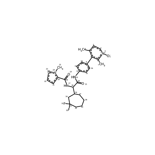 Cc1cc[n+]([O-])c(C)c1-c1ccc(NC(=O)C(NC(=O)c2ccnn2C)C2CCCCC(F)(F)C2)cc1